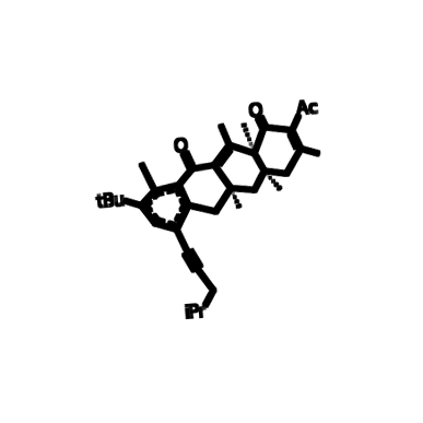 CC(=O)C1=C(C)C[C@@]2(C)C[C@@]3(C)Cc4c(C#CCC(C)C)cc(C(C)(C)C)c(C)c4C(=O)C3=C(C)[C@@]2(C)C1=O